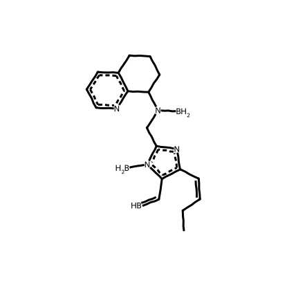 B=Cc1c(/C=C\CC)nc(CN(B)C2CCCc3cccnc32)n1B